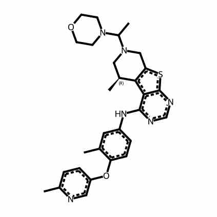 Cc1ccc(Oc2ccc(Nc3ncnc4sc5c(c34)[C@@H](C)CN(C(C)N3CCOCC3)C5)cc2C)cn1